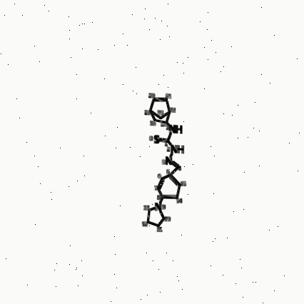 S=C(NN=Cc1ccc(N2CCCC2)cc1)NC1CC2C=CC1C2